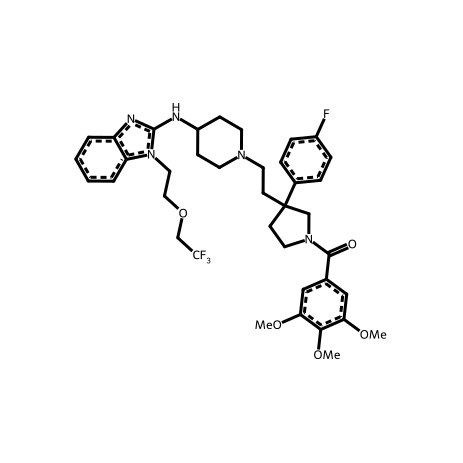 COc1cc(C(=O)N2CCC(CCN3CCC(Nc4nc5ccccc5n4CCOCC(F)(F)F)CC3)(c3ccc(F)cc3)C2)cc(OC)c1OC